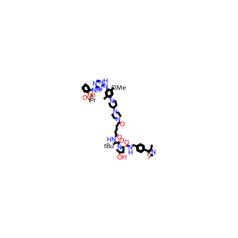 COc1cc(N2CCC(N3CCN(C(=O)CCCC(=O)NC(C(=O)N4C[C@H](O)C[C@H]4C(=O)NCc4ccc(-c5scnc5C)cc4)C(C)(C)C)CC3)CC2)c(C)cc1Nc1ncnc(Nc2ccccc2S(=O)(=O)C(C)C)n1